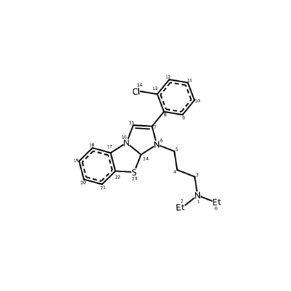 CCN(CC)CCCN1C(c2ccccc2Cl)=CN2c3ccccc3SC12